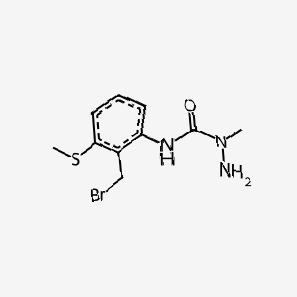 CSc1cccc(NC(=O)N(C)N)c1CBr